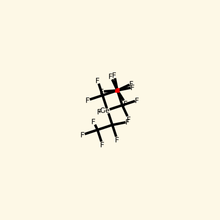 FC(F)(F)[C](F)(F)[Ge]([F])([C](F)(F)C(F)(F)F)[C](F)(F)C(F)(F)F